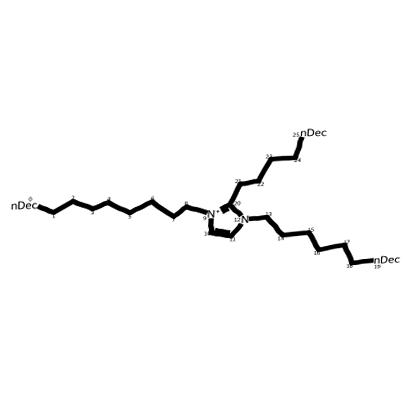 CCCCCCCCCCCCCCCCCC[n+]1ccn(CCCCCCCCCCCCCCCC)c1CCCCCCCCCCCCCC